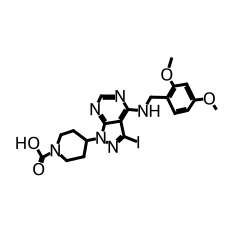 COc1ccc(CNc2ncnc3c2c(I)nn3C2CCN(C(=O)O)CC2)c(OC)c1